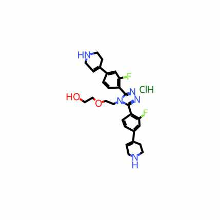 Cl.OCCOCCn1c(-c2ccc(C3=CCNCC3)cc2F)nnc1-c1ccc(C2=CCNCC2)cc1F